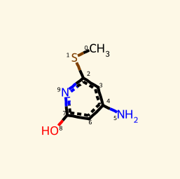 CSc1cc(N)cc(O)n1